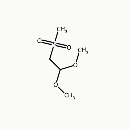 COC(CS(C)(=O)=O)OC